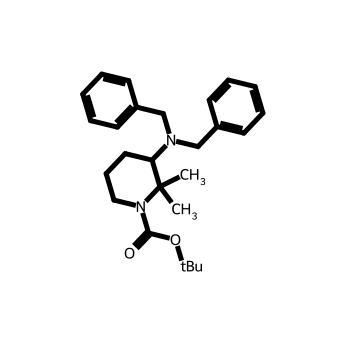 CC(C)(C)OC(=O)N1CCCC(N(Cc2ccccc2)Cc2ccccc2)C1(C)C